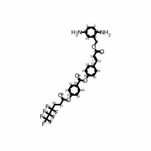 Nc1ccc(N)c(COC(=O)/C=C/c2ccc(OC(=O)c3ccc(OC(=O)CCC(F)(F)C(F)(F)C(F)(F)F)cc3)cc2)c1